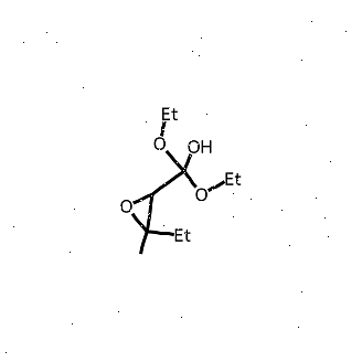 CCOC(O)(OCC)C1OC1(C)CC